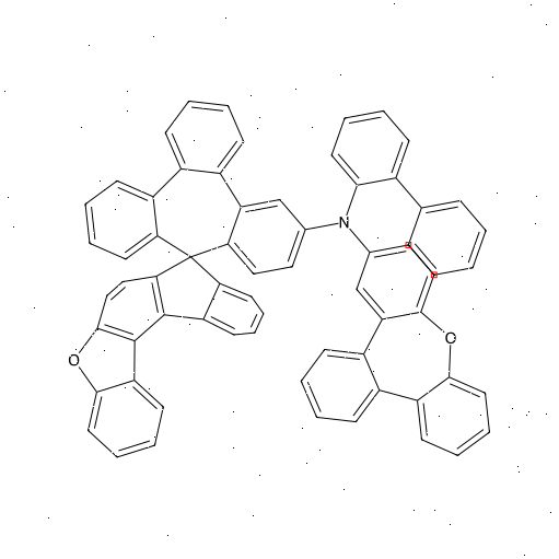 c1ccc(-c2ccccc2N(c2ccc3c(c2)-c2ccccc2-c2ccccc2O3)c2ccc3c(c2)-c2ccccc2-c2ccccc2C32c3ccccc3-c3c2ccc2oc4ccccc4c32)cc1